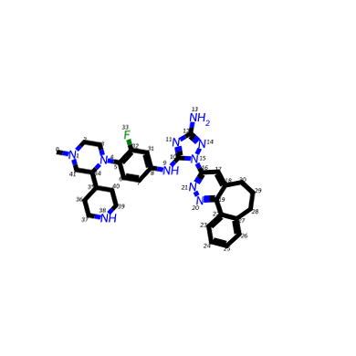 CN1CCN(c2ccc(Nc3nc(N)nn3-c3cc4c(nn3)-c3ccccc3CCC4)cc2F)C(C2CCNCC2)C1